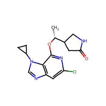 C[C@@H](Oc1nc(Cl)cc2ncn(C3CC3)c12)C1CNC(=O)C1